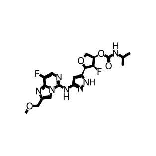 COCc1cn2c(Nc3cc([C@H]4OC[C@@H](OC(=O)NC(C)C)[C@H]4F)[nH]n3)ncc(F)c2n1